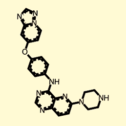 c1nc(Nc2ccc(Oc3ccn4ncnc4c3)cc2)c2nc(N3CCNCC3)ccc2n1